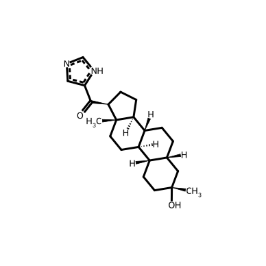 C[C@@]1(O)CC[C@H]2[C@H](CC[C@@H]3[C@@H]2CC[C@]2(C)[C@@H](C(=O)c4cnc[nH]4)CC[C@@H]32)C1